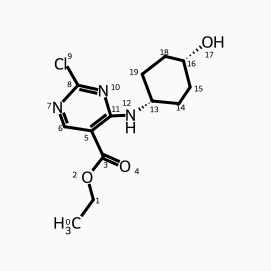 CCOC(=O)c1cnc(Cl)nc1N[C@H]1CC[C@@H](O)CC1